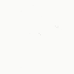 CC1(C)C(N)=NC2(c3cc(Br)ccc3F)COCC2S1(=O)=O